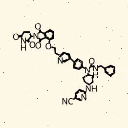 N#Cc1ccc(NC2CCC(N(C(=O)NCc3ccccc3)c3ccc(-c4ccc(CCOc5cccc6c5C(=O)N(C5CCC(=O)NC5=O)C6=O)nc4)cc3)CC2)nc1